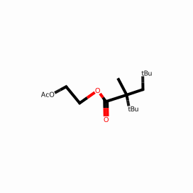 CC(=O)OCCOC(=O)C(C)(CC(C)(C)C)C(C)(C)C